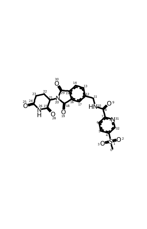 CS(=O)(=O)c1ccc(C(=O)NCc2ccc3c(c2)C(=O)N(C2CCC(=O)NC2=O)C3=O)nc1